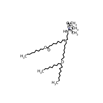 CCCCCCCCCOC(=O)CCCCCCCN(CCCCCCCCOC(CCCCCCCC)CCCCCCCC)CCCN/C(=N/S(C)(=O)=O)N(C)C